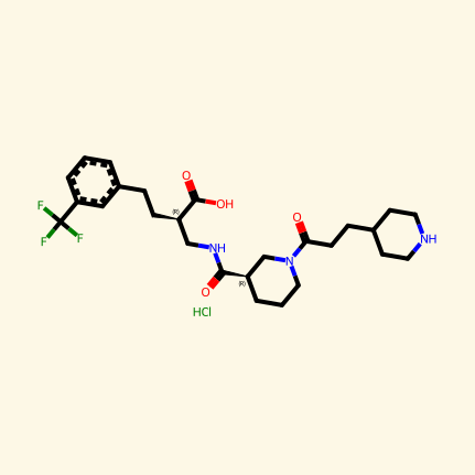 Cl.O=C(O)[C@H](CCc1cccc(C(F)(F)F)c1)CNC(=O)[C@@H]1CCCN(C(=O)CCC2CCNCC2)C1